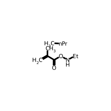 C=C(C)C(=O)ONCC.CCCC